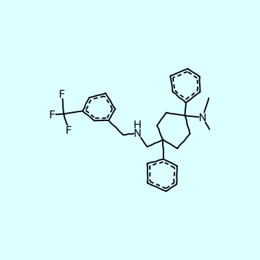 CN(C)C1(c2ccccc2)CCC(CNCc2cccc(C(F)(F)F)c2)(c2ccccc2)CC1